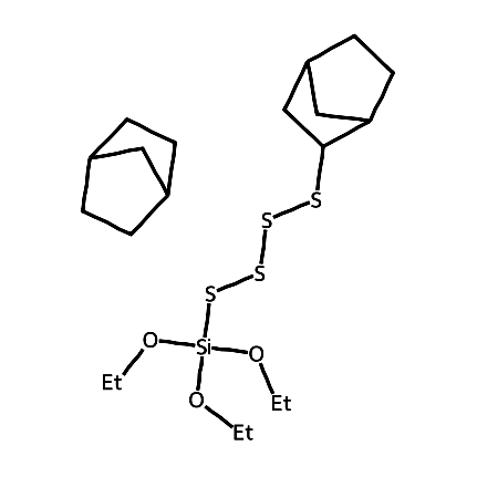 C1CC2CCC1C2.CCO[Si](OCC)(OCC)SSSSC1CC2CCC1C2